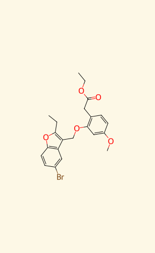 CCOC(=O)Cc1ccc(OC)cc1OCc1c(CC)oc2ccc(Br)cc12